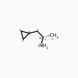 C[C@H](N)CC1CC1